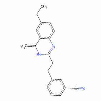 C=C1NC(CCc2cccc(C#N)c2)=Nc2ccc(CC)cc21